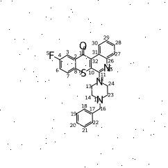 O=c1c2cc(F)ccc2sc2c(N3CCN(Cc4ccccc4)CC3)nc3ccccc3c12